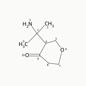 CC(C)(N)C1COCCC1=O